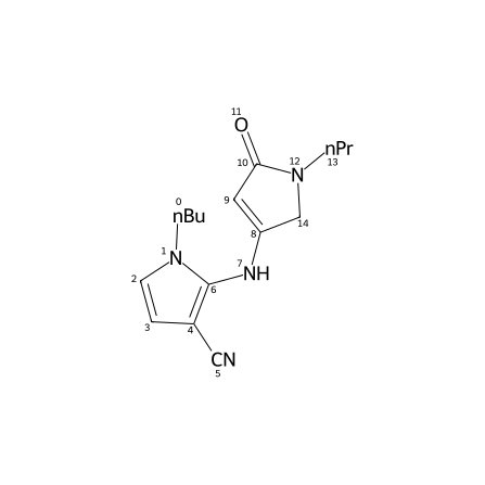 CCCCn1ccc(C#N)c1NC1=CC(=O)N(CCC)C1